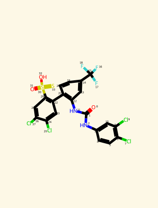 O=C(Nc1ccc(Cl)c(Cl)c1)Nc1cc(C(F)(F)F)ccc1-c1cc(Cl)c(Cl)cc1S(=O)(O)=S